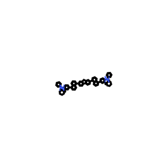 CC12CCCCC1(C)N(c1ccccc1)c1ccc(-c3cccc4c(-c5ccc6c(c5)Cc5cc(-c7cccc8c(-c9ccc%10c(c9)C9(C)CCCCC9(C)N%10c9ccccc9)cccc78)ccc5-6)cccc34)cc12